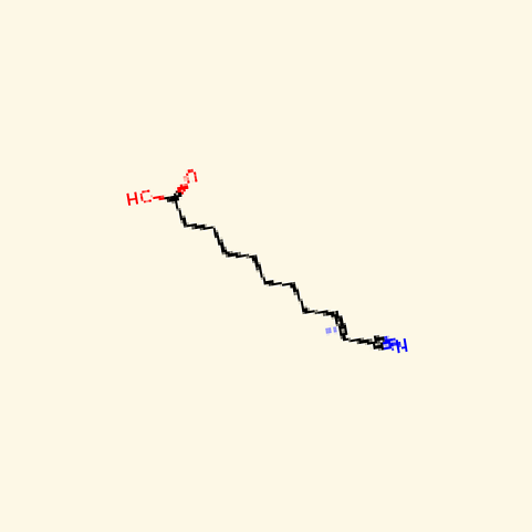 N#C/C=C/CCCCCCCC(=O)O